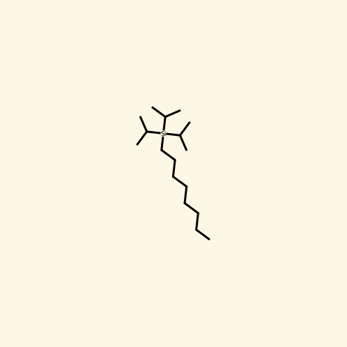 CCCCCCCC[Si](C(C)C)(C(C)C)C(C)C